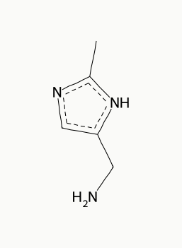 Cc1ncc(CN)[nH]1